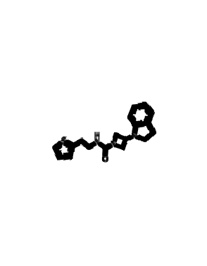 O=C(NCCc1cccs1)N1CC(N2CCc3ccccc32)C1